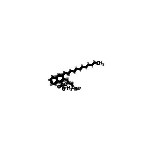 CCCCCCCCCCCCc1cc2ccccc2c(S(=O)(=O)[O-])c1CCCC.[Na+]